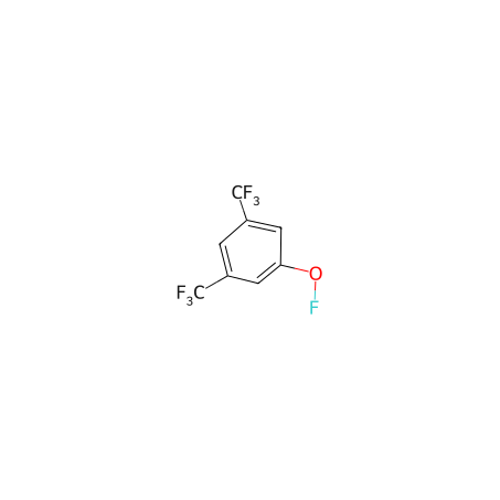 FOc1cc(C(F)(F)F)cc(C(F)(F)F)c1